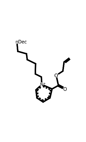 C=CCOC(=O)c1cccc[n+]1CCCCCCCCCCCCCCCC